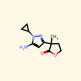 CC1(c2cc(N)n(C3CC3)n2)CCOC1=O